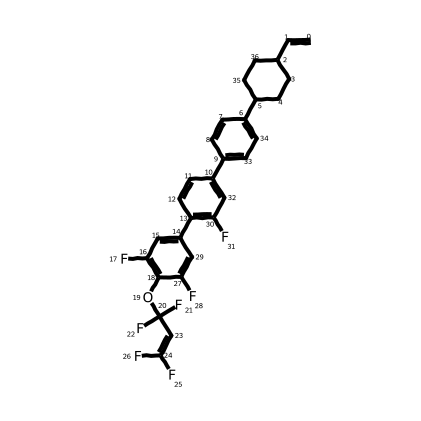 C=CC1CCC(c2ccc(-c3ccc(-c4cc(F)c(OC(F)(F)C=C(F)F)c(F)c4)c(F)c3)cc2)CC1